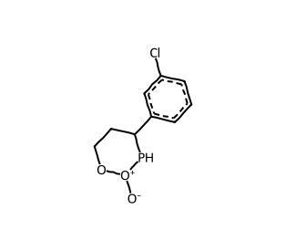 [O-][O+]1OCCC(c2cccc(Cl)c2)P1